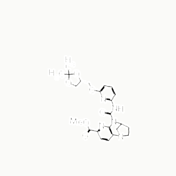 COC(=O)c1ccc2c(n1)N(C(=O)Nc1cccc(OC[C@@H]3COC(C)(C)O3)n1)C1CCN2C1